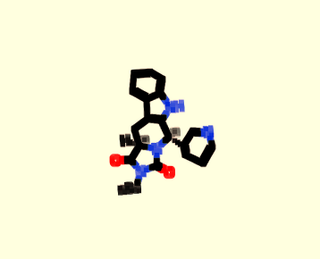 CCCCN1C(=O)[C@H]2Cc3c([nH]c4ccccc34)[C@H](c3cccnc3)N2C1=O